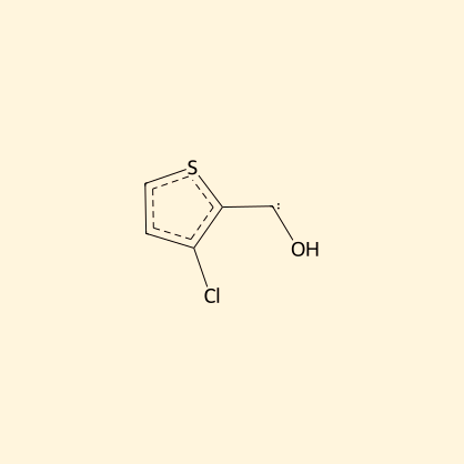 O[C]c1sccc1Cl